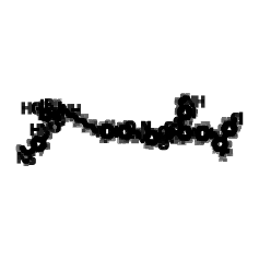 Cc1ncsc1-c1ccc(CNC(=O)[C@@H]2C[C@@H](O)CN2C(=O)[C@@H](NCCCCCCCN2CCN(C3CCC(CNc4ccc(S(=O)(=O)NC(=O)c5ccc(N6CCN(CC7=C(c8ccc(Cl)cc8)CC(C)(C)CC7)CC6)cc5Oc5cnc6[nH]ccc6c5)cc4[N+](=O)[O-])CC3)CC2)C(C)(C)C)cc1